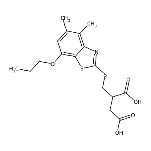 CCCOc1cc(C)c(C)c2nc(SCC(CC(=O)O)C(=O)O)sc12